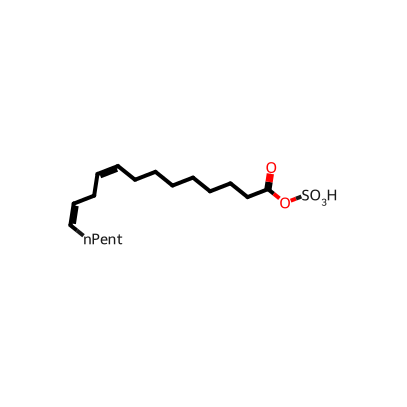 CCCCC/C=C\C/C=C\CCCCCCCC(=O)OS(=O)(=O)O